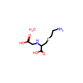 NCCCCC(NCC(=O)O)C(=O)O.O